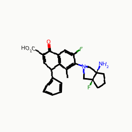 Cc1c2c(cc(F)c1N1C[C@]3(N)CCC[C@]3(F)C1)C(=O)C(C(=O)O)=CC2c1ccccc1